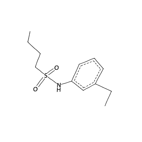 CCCCS(=O)(=O)Nc1cccc(CC)c1